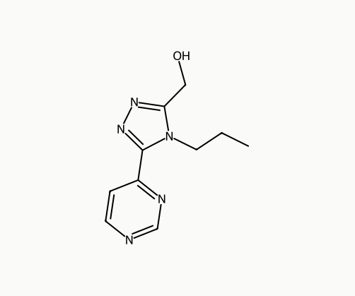 CCCn1c(CO)nnc1-c1ccncn1